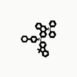 CC1(C)c2ccccc2-c2ccc(N(c3ccc(C4CCCCC4)cc3)c3ccc4c(N(c5ccccc5)c5ccccc5)cc5ccccc5c4c3)cc21